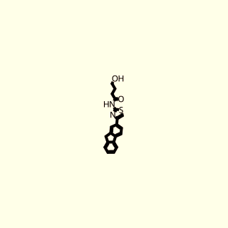 O=C(CCCO)Nc1nc(-c2ccc3c(c2)Cc2ccccc2-3)cs1